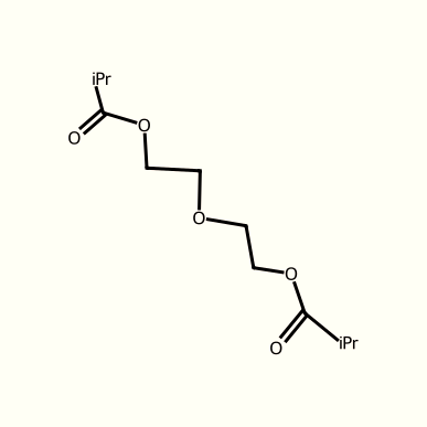 CC(C)C(=O)OCCOCCOC(=O)C(C)C